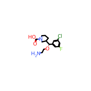 NCCO[C@@H](c1cc(F)cc(Cl)c1)C1CCCN(C(=O)O)C1